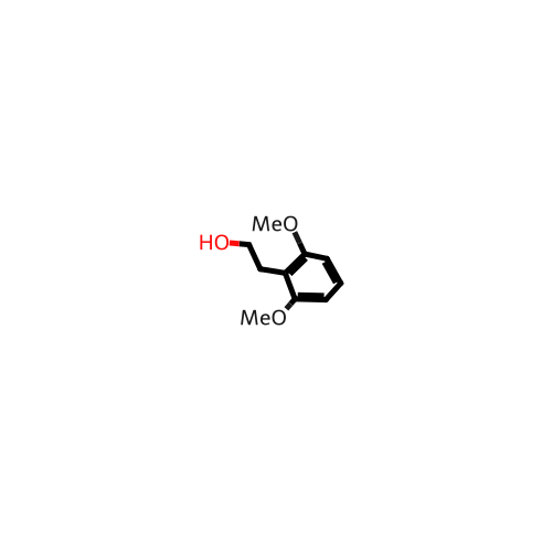 COc1cccc(OC)c1CCO